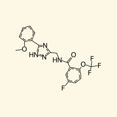 COc1ccccc1-c1nc(CNC(=O)c2cc(F)ccc2OC(F)(F)F)n[nH]1